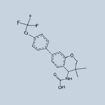 CC1(C)COc2cc(-c3ccc(OC(F)(F)F)cc3)ccc2C1NC(=O)O